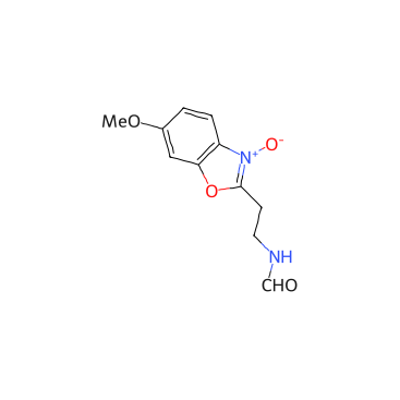 COc1ccc2c(c1)oc(CCNC=O)[n+]2[O-]